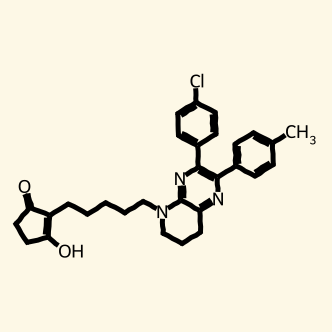 Cc1ccc(-c2nc3c(nc2-c2ccc(Cl)cc2)N(CCCCCC2=C(O)CCC2=O)CCC3)cc1